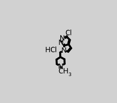 CN1CCC(Cn2ccc3cc(Cl)nnc32)CC1.Cl